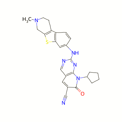 CN1CCc2c(sc3cc(Nc4ncc5cc(C#N)c(=O)n(C6CCCC6)c5n4)ccc23)C1